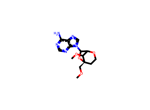 COC[C@@]12CCOC(C(n3cnc4c(N)ncnc43)O1)C2OC